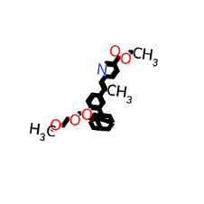 CCOC(=O)c1ccc(/C=C(\C)c2ccc(OCOCCOC)c(C34CC5CC(CC(C5)C3)C4)c2)nc1